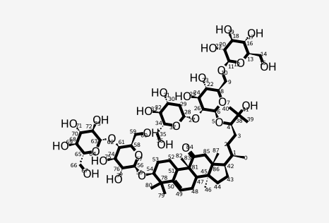 C[C@H](CC[C@@H](O[C@@H]1O[C@H](CO[C@@H]2O[C@H](CO)[C@@H](O)[C@H](O)[C@H]2O)[C@@H](O)[C@H](O)[C@H]1O[C@H]1C[C@@H](O)[C@H](O)[C@@H](CO)O1)C(C)(C)O)[C@H]1CC[C@@]2(C)C3CC=C4C(CC[C@H](O[C@@H]5O[C@H](CO)[C@@H](O[C@@H]6O[C@H](CO)[C@@H](O)[C@H](O)[C@H]6O)[C@H](O)[C@H]5O)C4(C)C)[C@]3(C)C(=O)C[C@]12C